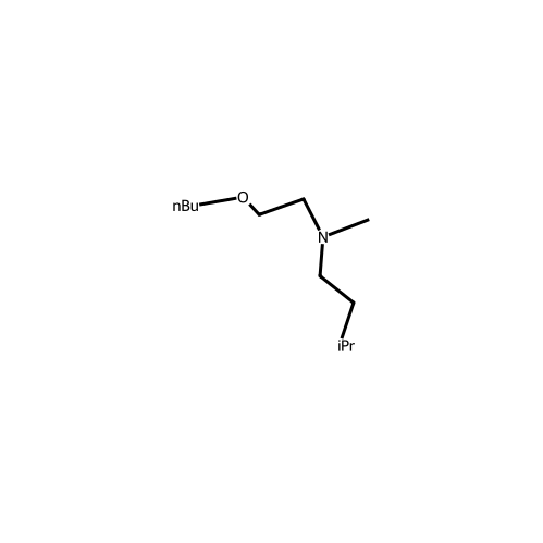 CCCCOCCN(C)CCC(C)C